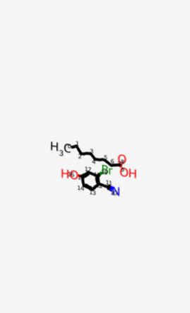 CCCCCCCC(=O)O.N#Cc1ccc(O)cc1Br